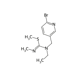 CCN(Cc1ccc(Br)nc1)C(=NC)SC